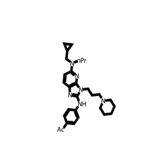 CCCN(CC1CC1)c1ccc2nc(Nc3ccc(C(C)=O)cc3)n(CCCN3CCCCC3)c2n1